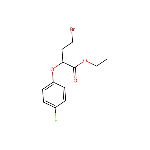 CCOC(=O)C(CCBr)Oc1ccc(F)cc1